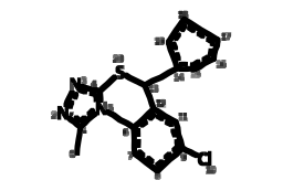 Cc1nnc2n1-c1ccc(Cl)cc1C(c1ccccc1)S2